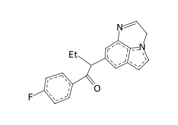 CCC(C(=O)c1ccc(F)cc1)c1cc2c3c(ccn3CC=N2)c1